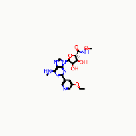 CCOc1cncc(-c2nc(NC)c3ncn(C4O[C@@H](C(=O)NOC)C(O)C4O)c3n2)c1